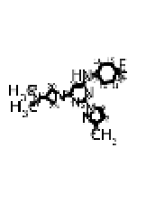 Cc1ccn(-c2nc(NC3CCC(F)(F)CC3)cc(N3CC(N(C)C)C3)n2)n1